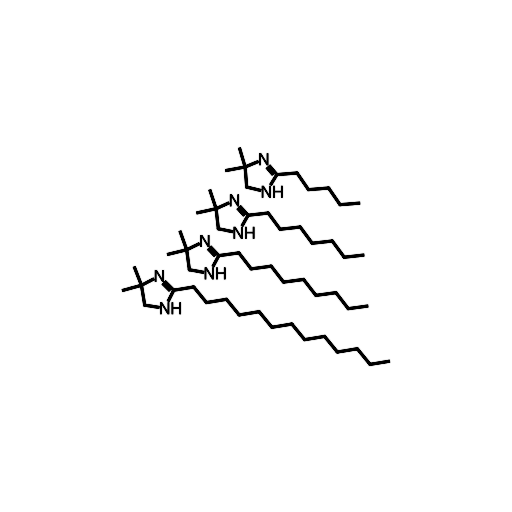 CCCCCC1=NC(C)(C)CN1.CCCCCCCC1=NC(C)(C)CN1.CCCCCCCCCC1=NC(C)(C)CN1.CCCCCCCCCCCCCC1=NC(C)(C)CN1